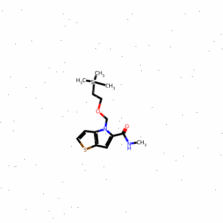 CNC(=O)c1cc2sccc2n1COCC[Si](C)(C)C